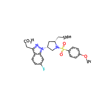 CSC[C@H]1C[C@@H](n2nc(CC(=O)O)c3ccc(F)cc32)CN1S(=O)(=O)c1ccc(OC(C)C)cc1